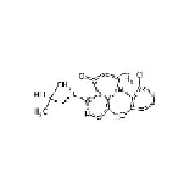 Cc1cc(=O)c2c(OCC(C)(C)O)ncc(Cl)c2n1-c1c(Cl)cccc1Cl